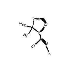 CC(C)/N=[N+](\[O-])N1OCOC1(C)O